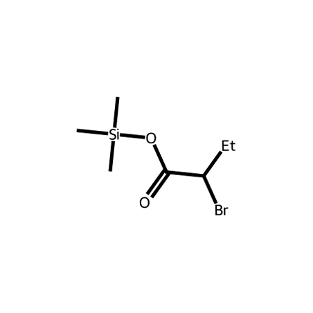 CCC(Br)C(=O)O[Si](C)(C)C